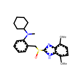 COc1ccc(OC)c2[nH]c([S+]([O-])Cc3ccccc3N(C)C3CCCCC3)nc12